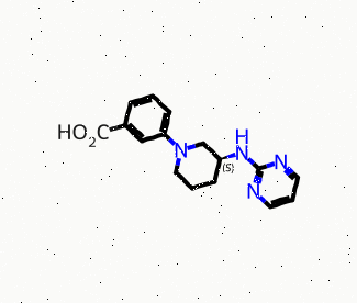 O=C(O)c1cccc(N2CCC[C@H](Nc3ncccn3)C2)c1